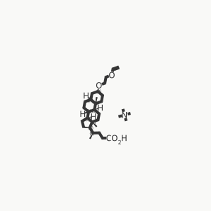 C=COCCO[C@@H]1CC[C@@]2(C)[C@H](CC[C@@H]3[C@@H]2CC[C@]2(C)[C@@H]([C@H](C)CCC(=O)O)CC[C@@H]32)C1.C[N+](C)(C)C